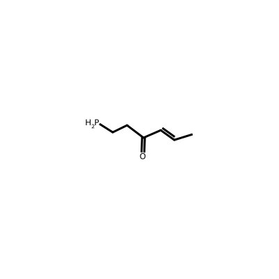 C/C=C/C(=O)CCP